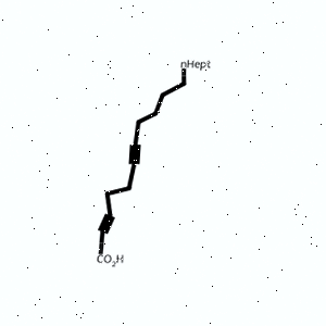 CCCCCCCCCCCC#CCCC#CC(=O)O